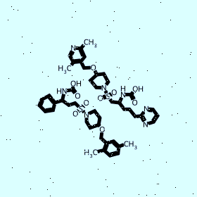 Cc1cc(COC2CCN(S(=O)(=O)CC(CCCc3ncccn3)NC(=O)O)CC2)c(C)cn1.Cc1ccc(C)c(COC2CCN(S(=O)(=O)CCC(NC(=O)O)c3ccccc3)CC2)c1